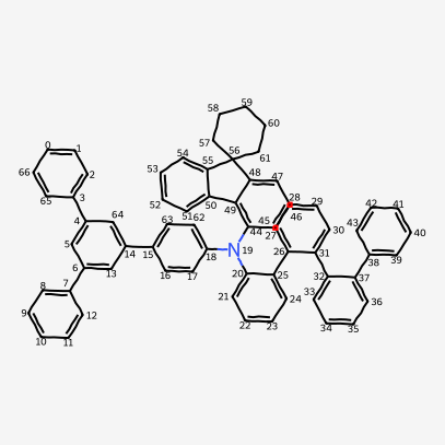 c1ccc(-c2cc(-c3ccccc3)cc(-c3ccc(N(c4ccccc4-c4ccccc4-c4ccccc4-c4ccccc4)c4cccc5c4-c4ccccc4C54CCCCC4)cc3)c2)cc1